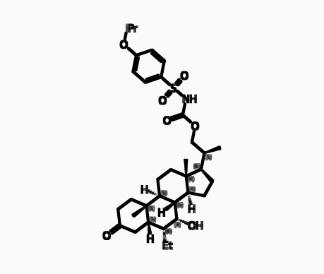 CC[C@H]1[C@@H](O)[C@@H]2[C@H](CC[C@]3(C)[C@@H]([C@H](C)COC(=O)NS(=O)(=O)c4ccc(OC(C)C)cc4)CC[C@@H]23)[C@@]2(C)CCC(=O)C[C@@H]12